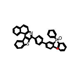 CC1CC=C(c2ccc(-c3nc4ccc5ccccc5c4c4c3sc3ccccc34)cc2)C=C1P(=O)(c1ccccc1)c1ccccc1